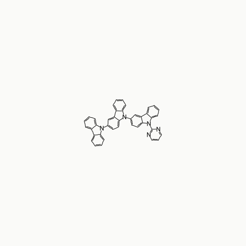 c1cnc(-n2c3ccccc3c3cc(-n4c5ccccc5c5cc(-n6c7ccccc7c7ccccc76)ccc54)ccc32)nc1